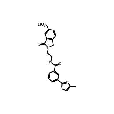 CCOC(=O)c1ccc2c(c1)C(=O)N(CCNC(=O)c1cccc(-c3nc(C)co3)c1)C2